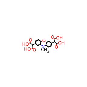 CN1c2ccc(C(C(=O)O)C(=O)O)cc2Oc2ccc(C(C(=O)O)C(=O)O)cc21